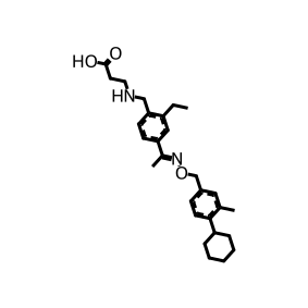 CCc1cc(C(C)=NOCc2ccc(C3CCCCC3)c(C)c2)ccc1CNCCC(=O)O